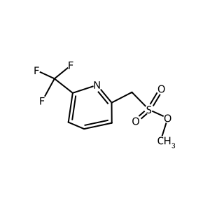 COS(=O)(=O)Cc1cccc(C(F)(F)F)n1